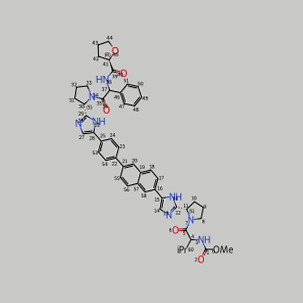 COC(=O)NC(C(=O)N1CCC[C@H]1c1ncc(-c2ccc3cc(-c4ccc(-c5cnc([C@@H]6CCCN6C(=O)C(NC(=O)[C@H]6CCCO6)c6ccccc6)[nH]5)cc4)ccc3c2)[nH]1)C(C)C